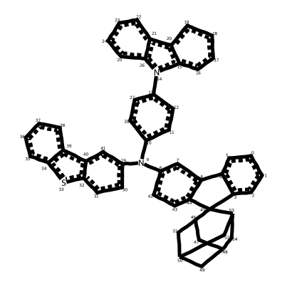 c1ccc2c(c1)-c1cc(N(c3ccc(-n4c5ccccc5c5ccccc54)cc3)c3ccc4sc5ccccc5c4c3)ccc1C21C2CC3CC(C2)CC1C3